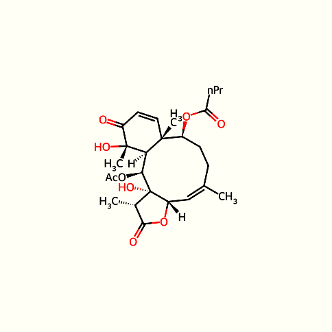 CCCC(=O)O[C@H]1CC/C(C)=C\[C@@H]2OC(=O)[C@H](C)[C@@]2(O)[C@@H](OC(C)=O)[C@@H]2[C@]1(C)C=CC(=O)[C@@]2(C)O